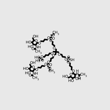 COSP(=O)(OCCCCOC1OC(CO)C(O)C(O)C1NC(C)=O)OCCCOCC(COCCCCOP(=O)(O)S)(COCCCOP(=O)(S)OCCCCOC1OC(CO)C(O)C(O)C1NC(C)=O)COCCCOP(=O)(OCCCCOC1OC(CO)C(O)C(O)C1NC(C)=O)SOC